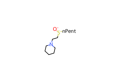 CCCCC[S+]([O-])CCN1CCCCC1